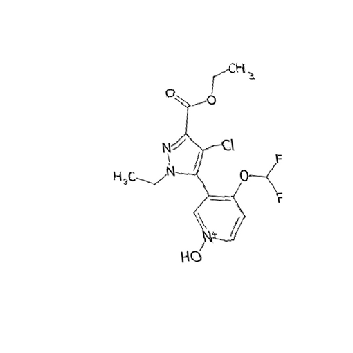 CCOC(=O)c1nn(CC)c(-c2c[n+](O)ccc2OC(F)F)c1Cl